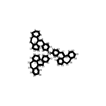 C(=C1c2ccccc2CCc2ccccc21)c1ccc(N(c2ccc(C=C3c4ccccc4CCc4ccccc43)cc2)c2ccc(C=C3c4ccccc4CCc4ccccc43)cc2)cc1